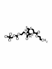 C=CCOC(=O)C1CSC(=S)[C@H]2[C@H](S1)C(=O)N2CCOC(=O)OCC(Cl)(Cl)Cl